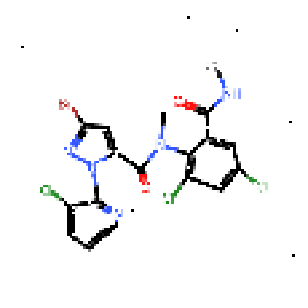 CCNC(=O)c1cc(Cl)cc(Cl)c1N(C)C(=O)c1cc(Br)nn1-c1ncccc1Cl